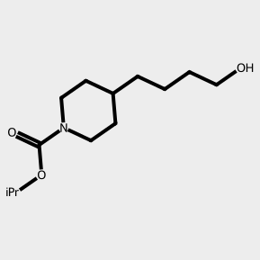 CC(C)OC(=O)N1CCC(CCCCO)CC1